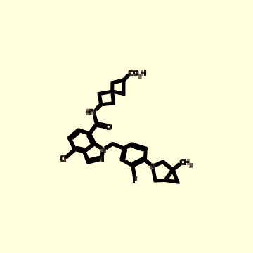 CC12CC1CN(c1ccc(Cn3ncc4c(Cl)ccc(C(=O)NC5CC6(C5)CC(C(=O)O)C6)c43)cc1F)C2